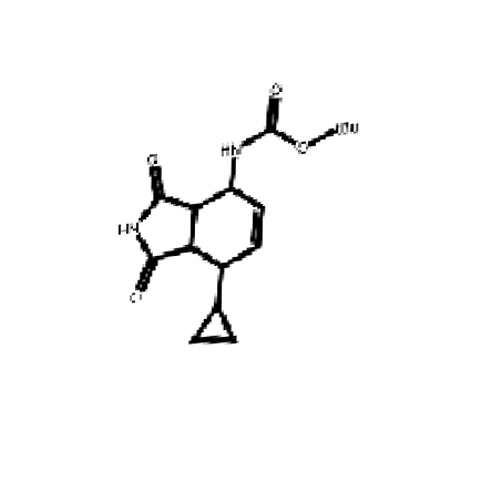 CC(C)(C)OC(=O)NC1C=CC(C2CC2)C2C(=O)NC(=O)C12